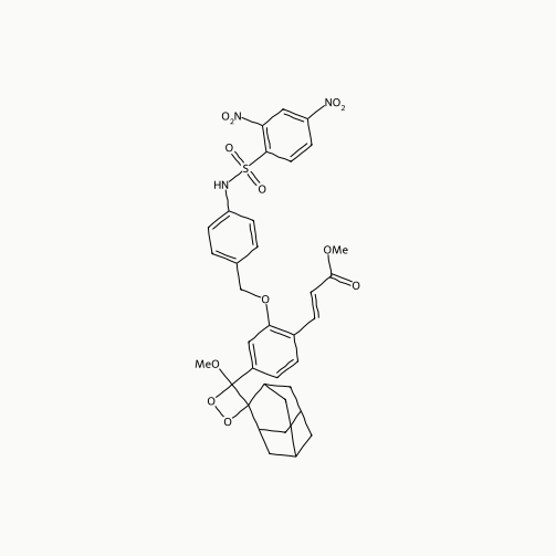 COC(=O)/C=C/c1ccc(C2(OC)OOC23C2CC4CC(C2)CC3C4)cc1OCc1ccc(NS(=O)(=O)c2ccc([N+](=O)[O-])cc2[N+](=O)[O-])cc1